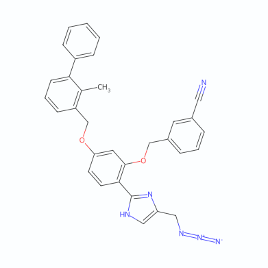 Cc1c(COc2ccc(-c3nc(CN=[N+]=[N-])c[nH]3)c(OCc3cccc(C#N)c3)c2)cccc1-c1ccccc1